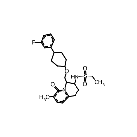 CCS(=O)(=O)NC1CCc2ccc(C)c(=O)n2C1COC1CCC(c2cccc(F)c2)CC1